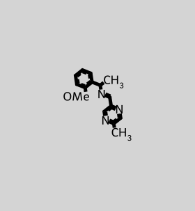 COc1ccccc1C(C)/N=C/c1cnc(C)cn1